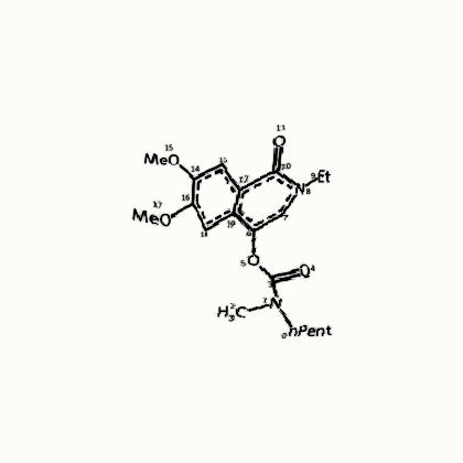 CCCCCN(C)C(=O)Oc1cn(CC)c(=O)c2cc(OC)c(OC)cc12